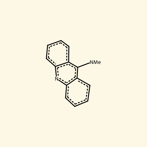 CNc1c2ccccc2nc2ccccc12